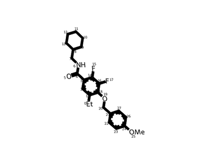 CCc1cc(C(=O)NCC2CCCCC2)c(F)c(F)c1OCc1ccc(OC)cc1